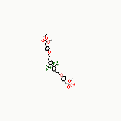 CCOC(Cc1ccc(OCCCc2ccc(-c3ccc(CCCOc4ccc(CC(OCC)C(=O)OC(C)C)cc4)cc3C(F)(F)F)c(C(F)(F)F)c2)cc1)C(=O)O